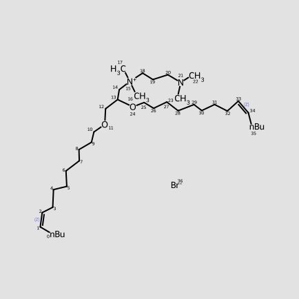 CCCC/C=C\CCCCCCCCOCC(C[N+](C)(C)CCCN(C)C)OCCCCCCCC/C=C\CCCC.[Br-]